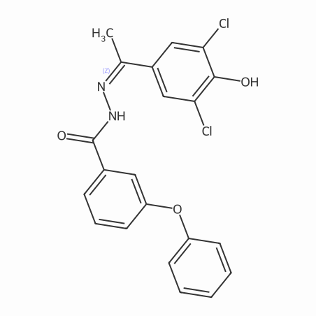 C/C(=N/NC(=O)c1cccc(Oc2ccccc2)c1)c1cc(Cl)c(O)c(Cl)c1